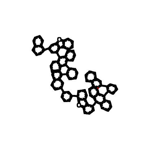 c1cc(-c2ccc3cccc(-c4ccccc4-c4c5ccccc5c(-c5cc(-c6cccc7ccccc67)cc6oc7ccccc7c56)c5ccccc45)c3c2)cc(-c2cccc3c2oc2cccc(-c4c5ccccc5c(-c5ccccc5-c5ccc6ccccc6c5)c5ccccc45)c23)c1